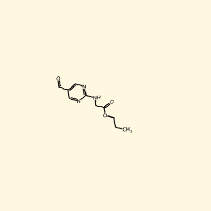 CCCOC(=O)CNc1ncc(C=O)cn1